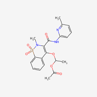 CC(=O)OC(C)OC1=C(C(=O)Nc2cccc(C)n2)N(C)S(=O)(=O)c2ccccc21